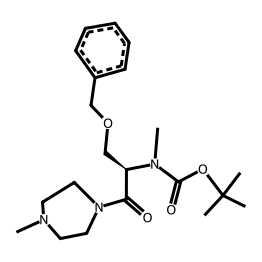 CN1CCN(C(=O)[C@@H](COCc2ccccc2)N(C)C(=O)OC(C)(C)C)CC1